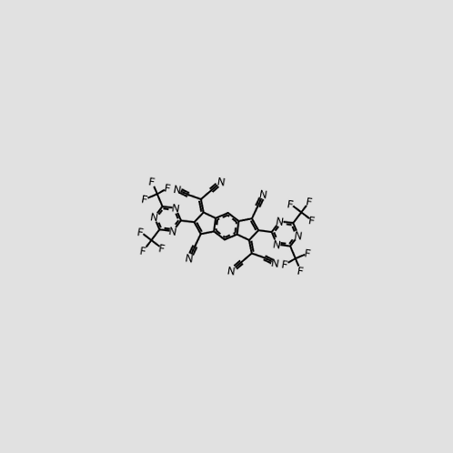 N#CC(C#N)=C1C(c2nc(C(F)(F)F)nc(C(F)(F)F)n2)=C(C#N)c2cc3c(cc21)C(C#N)=C(c1nc(C(F)(F)F)nc(C(F)(F)F)n1)C3=C(C#N)C#N